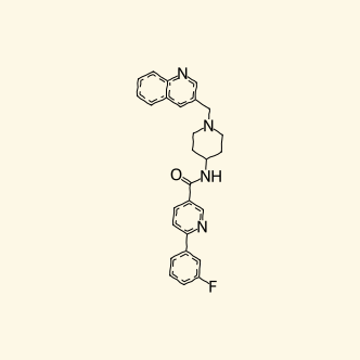 O=C(NC1CCN(Cc2cnc3ccccc3c2)CC1)c1ccc(-c2cccc(F)c2)nc1